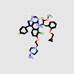 COC(=O)[C@@H](Cc1ccccc1OCC1CC1)Nc1ncnn2cc(-c3ccc(F)cc3)c(-c3ccc(OCCN4CCN(C)CC4)c(Cl)c3C)c12